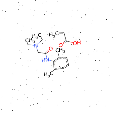 C=CC(=O)O.CCN(CC)CC(=O)Nc1c(C)cccc1C